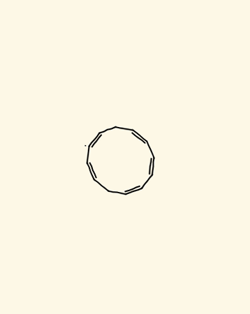 [C]1=CCC=CC=CC=CCC=C1